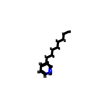 CCCCCCCCc1[c]nccc1